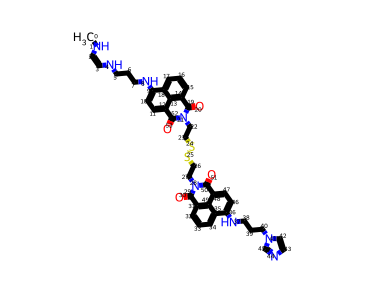 CN/C=C\NCCCNc1ccc2c3c(cccc13)C(=O)N(CCSSCCN1C(=O)c3cccc4c(NCCCn5ccnc5)ccc(c34)C1=O)C2=O